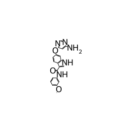 COc1cccc(NC(=O)c2c[nH]c3cc(Oc4cc(N)ncn4)ccc23)c1